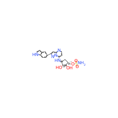 NS(=O)(=O)OC[C@H]1C[C@@H](Nc2ccnc3cc(-c4ccc5[nH]ccc5c4)nn23)[C@H](O)[C@@H]1O